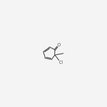 CC1(Cl)C=CC=CC1=O